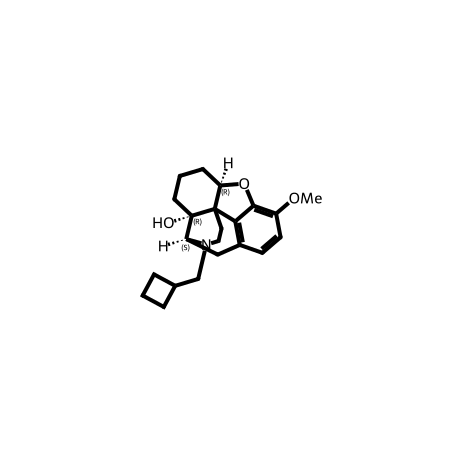 COc1ccc2c3c1O[C@@H]1CCC[C@]4(O)[C@H](C2)N(CC2CCC2)CCC314